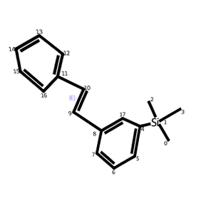 C[Si](C)(C)c1cccc(/C=C/c2ccccc2)c1